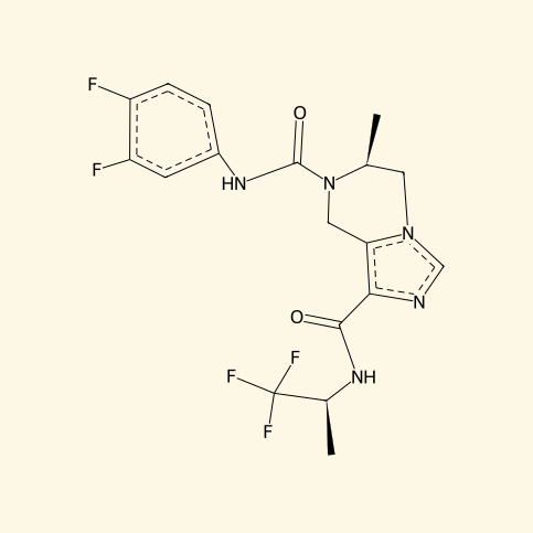 C[C@H](NC(=O)c1ncn2c1CN(C(=O)Nc1ccc(F)c(F)c1)[C@@H](C)C2)C(F)(F)F